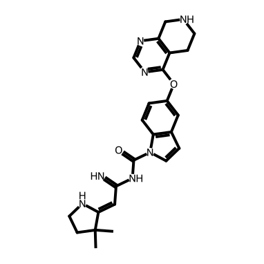 CC1(C)CCN/C1=C\C(=N)NC(=O)n1ccc2cc(Oc3ncnc4c3CCNC4)ccc21